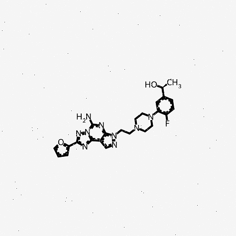 C[C@H](O)c1ccc(F)c(N2CCN(CCn3ncc4c3nc(N)n3nc(-c5ccco5)nc43)CC2)c1